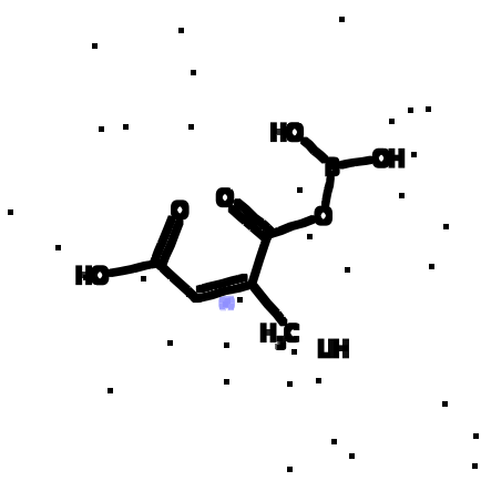 C/C(=C/C(=O)O)C(=O)OB(O)O.[LiH]